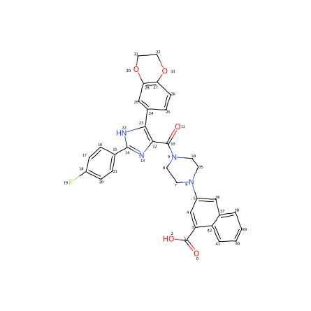 O=C(O)c1cc(N2CCN(C(=O)c3nc(-c4ccc(F)cc4)[nH]c3-c3ccc4c(c3)OCCO4)CC2)cc2ccccc12